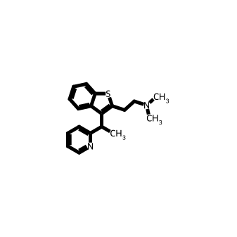 CC(c1ccccn1)c1c(CCN(C)C)sc2ccccc12